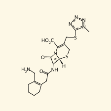 Cn1nnnc1SCC1=C(C(=O)O)N2C(=O)C(NC(=O)CC3=C(CN)CCCC3)[C@H]2SC1